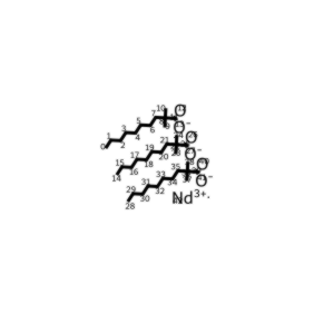 CCCCCCCCC(C)(C)C(=O)[O-].CCCCCCCCC(C)(C)C(=O)[O-].CCCCCCCCC(C)(C)C(=O)[O-].[Nd+3]